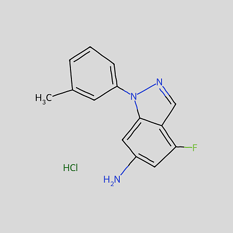 Cc1cccc(-n2ncc3c(F)cc(N)cc32)c1.Cl